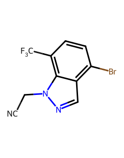 N#CCn1ncc2c(Br)ccc(C(F)(F)F)c21